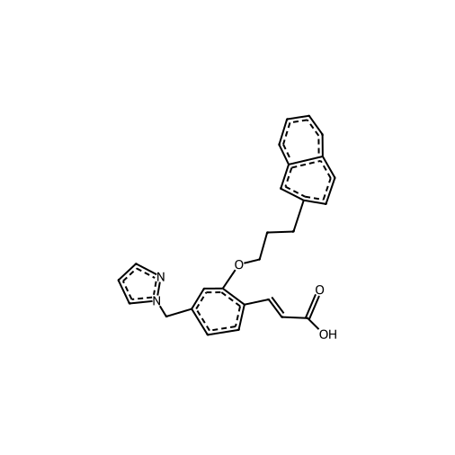 O=C(O)/C=C/c1ccc(Cn2cccn2)cc1OCCCc1ccc2ccccc2c1